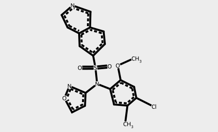 COc1cc(Cl)c(C)cc1N(c1ccon1)S(=O)(=O)c1ccc2cnccc2c1